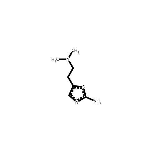 CN(C)CCc1cnc(N)s1